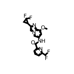 COc1cc(NC(=O)c2cccc(C(F)F)n2)cn2cc(C3CC3(F)F)nc12